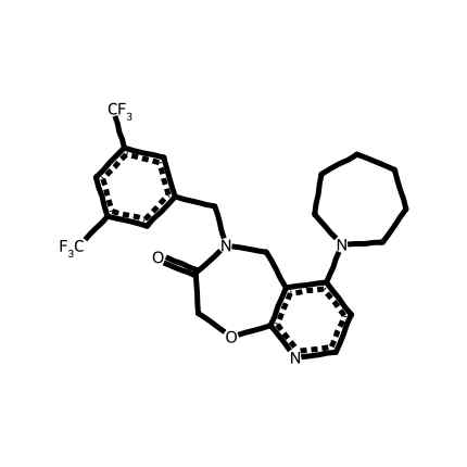 O=C1COc2nccc(N3CCCCCC3)c2CN1Cc1cc(C(F)(F)F)cc(C(F)(F)F)c1